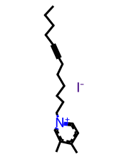 CCCCC#CCCCCCC[n+]1ccc(C)c(C)c1.[I-]